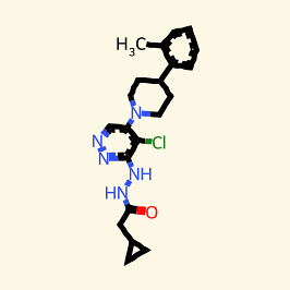 Cc1ccccc1C1CCN(c2cnnc(NNC(=O)CC3CC3)c2Cl)CC1